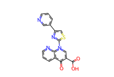 O=C(O)c1cn(-c2nc(-c3cccnc3)cs2)c2ncccc2c1=O